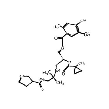 Cc1cc(O)c(O)cc1C(=O)OC[C@H](CNC(C)(C)CNC(=O)C1CCOC1)OC(=O)C1(C)CC1